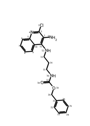 Nc1c(Cl)nc2ccccc2c1NCCCNC(=O)OCc1ccccc1